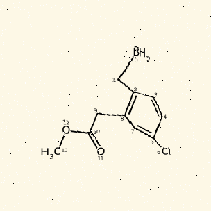 BCc1ccc(Cl)cc1CC(=O)OC